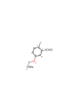 COCOc1ccc(C)c(C=O)c1